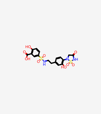 O=C1CN(c2ccc(CCNS(=O)(=O)c3ccc(O)c(C(=O)O)c3)cc2O)S(=O)(=O)N1